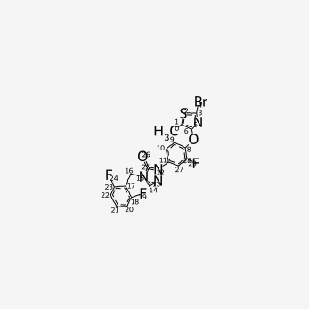 Cc1sc(Br)nc1Oc1ccc(-n2ncn(Cc3c(F)cccc3F)c2=O)cc1F